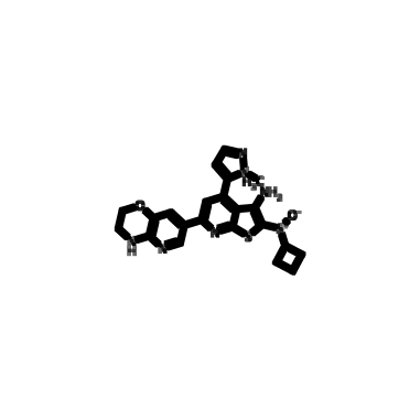 Cn1nccc1-c1cc(-c2cnc3c(c2)OCCN3)nc2sc([S+]([O-])C3CCC3)c(N)c12